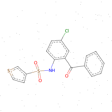 O=C(c1ccccc1)c1cc(Cl)ccc1NS(=O)(=O)c1ccsc1